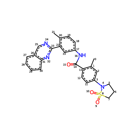 Cc1cc(N2CCCS2(=O)=O)ccc1C(=O)Nc1ccc(C)c(-c2ncc3ccccc3n2)c1